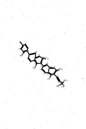 Cc1ccc(-c2ccc3c(F)c(-c4ccc5c(F)c(C#CC(F)(F)F)c(F)cc5c4)c(F)cc3c2)c(F)c1